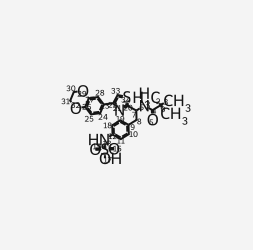 CC(C)(C)C(=O)NC(Cc1ccc(NS(=O)(=O)O)cc1)c1nc(-c2ccc3c(c2)OCCO3)cs1